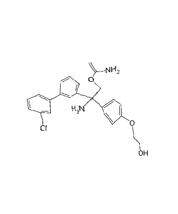 C=C(N)OCC(N)(c1ccc(OCCO)cc1)c1cccc(-c2cccc(Cl)c2)c1